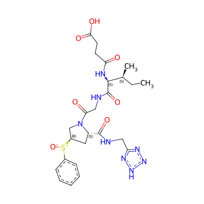 CC[C@H](C)[C@H](NC(=O)CCC(=O)O)C(=O)NCC(=O)N1C[C@H]([S+]([O-])c2ccccc2)C[C@H]1C(=O)NCc1nn[nH]n1